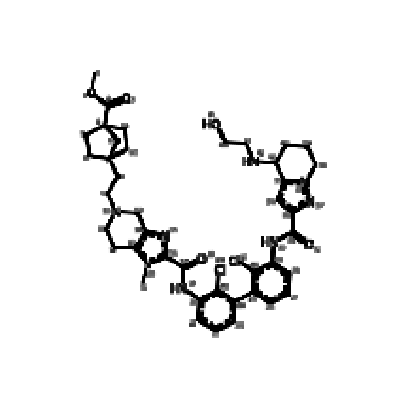 COC(=O)C12CCC(CCN3CCc4c(nc(C(=O)Nc5cccc(-c6cccc(NC(=O)c7cc8n(n7)CCCC8NCCO)c6Cl)c5Cl)n4C)C3)(CC1)C2